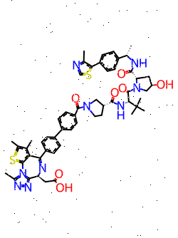 Cc1ncsc1-c1ccc([C@H](C)NC(=O)[C@@H]2C[C@@H](O)CN2C(=O)[C@@H](NC(=O)[C@@H]2CCN(C(=O)c3ccc(-c4ccc(C5=N[C@@H](CC(=O)O)c6nnc(C)n6-c6sc(C)c(C)c65)cc4)cc3)C2)C(C)(C)C)cc1